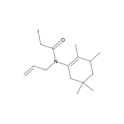 C=CCN(C(=O)CI)C1=C(C)C(C)CC(C)(C)C1